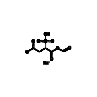 O=COC(=O)C(CC(=O)[O-])S(=O)(=O)O.[Na+]